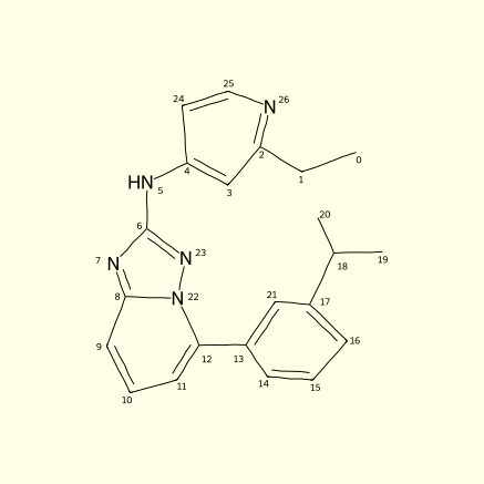 CCc1cc(Nc2nc3cccc(-c4cccc(C(C)C)c4)n3n2)ccn1